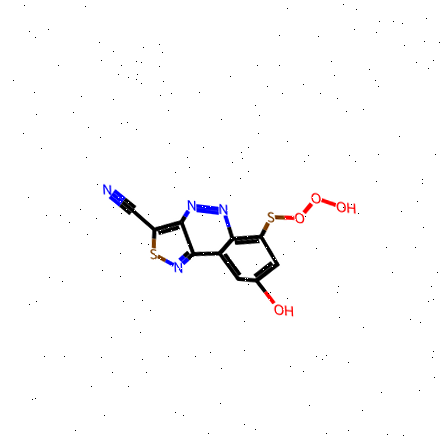 N#Cc1snc2c1nnc1c(SOOO)cc(O)cc12